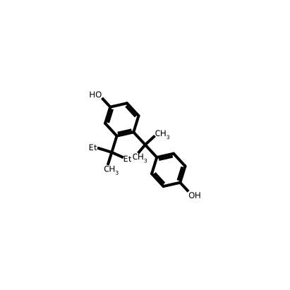 CCC(C)(CC)c1cc(O)ccc1C(C)(C)c1ccc(O)cc1